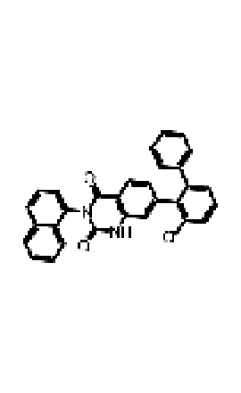 O=c1[nH]c2cc(-c3c(Cl)cccc3-c3ccccc3)ccc2c(=O)n1-c1cccc2ccccc12